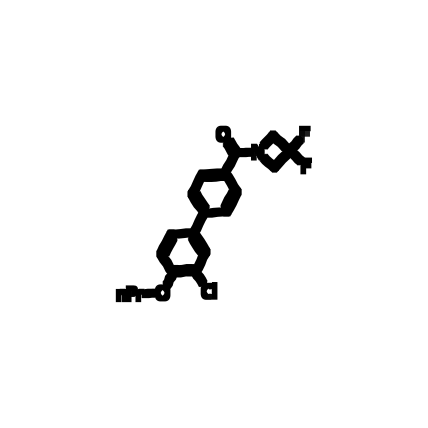 CCCOc1ccc(-c2ccc(C(=O)N3CC(F)(F)C3)cc2)cc1Cl